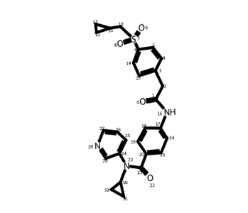 O=C(Cc1ccc(S(=O)(=O)CC2CC2)cc1)Nc1ccc(C(=O)N(c2cccnc2)C2CC2)cc1